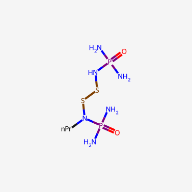 CCCN(SSNP(N)(N)=O)P(N)(N)=O